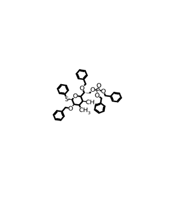 CC1[C@H](C)C([C@@H](COP(=O)(OCc2ccccc2)OCc2ccccc2)OCc2ccccc2)O[C@H](Sc2ccccc2)[C@@H]1OCc1ccccc1